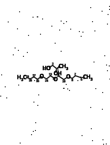 CC(O)CO.CCCCOCCOCCOCCCC